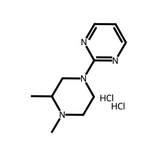 CC1CN(c2ncccn2)CCN1C.Cl.Cl